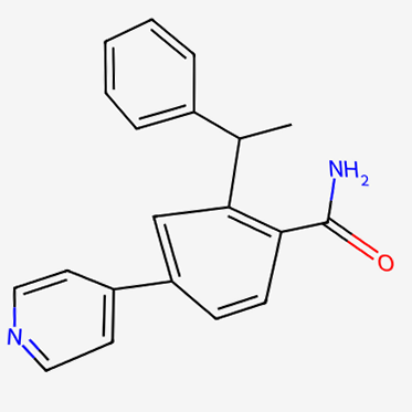 CC(c1ccccc1)c1cc(-c2ccncc2)ccc1C(N)=O